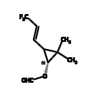 CC1(C)C(C=CC(F)(F)F)[C@H]1OC=O